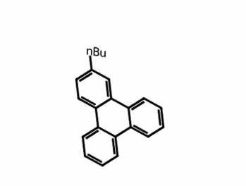 CCCCc1ccc2c3ccccc3c3ccccc3c2c1